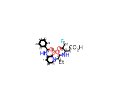 CC[C@@H](C(=O)NC(CC(=O)O)C(=O)CF)n1cccc(NC(=O)c2ccccc2)c1=O